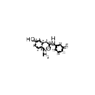 Nc1ccc(O)cc1CC(=O)Nc1cccc(F)c1